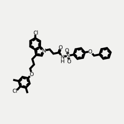 Cc1cc(OCCCc2cn(CCC(=O)NS(=O)(=O)c3ccc(OCc4ccccc4)cc3)c3cc(Cl)ccc23)cc(C)c1Cl